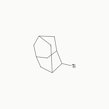 [Ti][CH]1C2CC3CC(C2)CC1C3